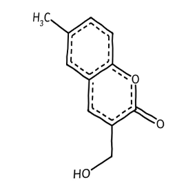 Cc1ccc2oc(=O)c(CO)cc2c1